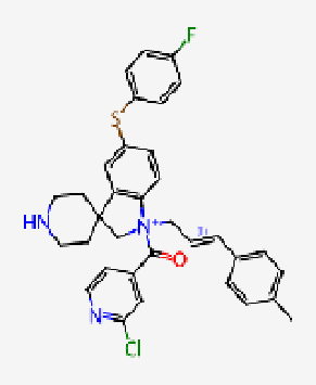 Cc1ccc(/C=C/C[N+]2(C(=O)c3ccnc(Cl)c3)CC3(CCNCC3)c3cc(Sc4ccc(F)cc4)ccc32)cc1